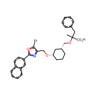 CCc1oc(-c2ccc3ccccc3c2)nc1CO[C@H]1CCC[C@@H](COC(C)(Cc2ccccc2)C(=O)O)C1